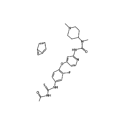 CC(=O)NC(=S)Nc1ccc(Oc2ccnc(NC(=O)N(C)C3CCN(C)CC3)c2)c(F)c1.c1cc2cc-2c1